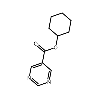 O=C(OC1CCCCC1)c1cncnc1